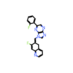 FC1=Cc2ncccc2CC1=Cn1cnc2ncc(-c3ccccc3F)nc21